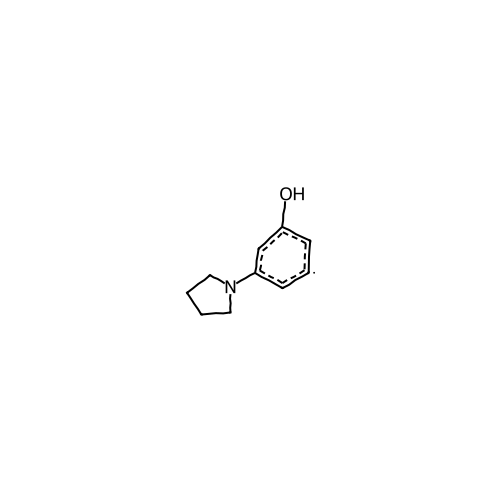 Oc1c[c]cc(N2CCCC2)c1